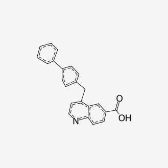 O=C(O)c1ccc2nccc(Cc3ccc(-c4ccccc4)cc3)c2c1